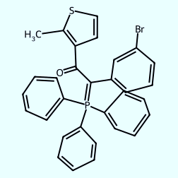 Cc1sccc1C(=O)C(c1cccc(Br)c1)=P(c1ccccc1)(c1ccccc1)c1ccccc1